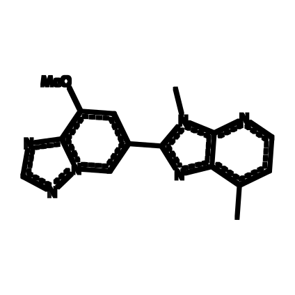 COc1cc(-c2nc3c(C)ccnc3n2C)cn2ncnc12